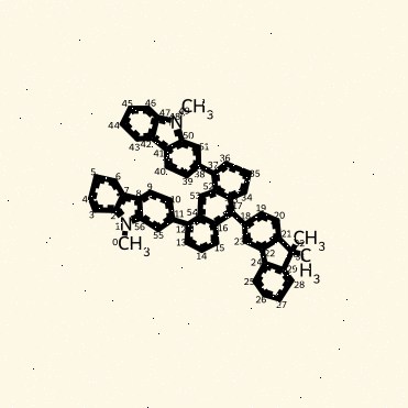 Cn1c2ccccc2c2ccc(-c3cccc4c(-c5ccc6c(c5)-c5ccccc5C6(C)C)c5cccc(-c6ccc7c8ccccc8n(C)c7c6)c5cc34)cc21